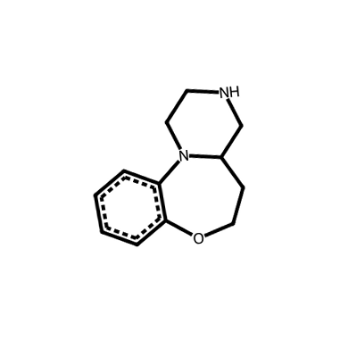 c1ccc2c(c1)OCCC1CNCCN21